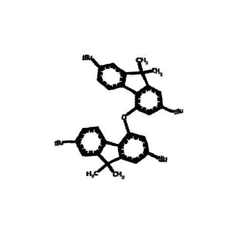 CC(C)(C)c1ccc2c(c1)C(C)(C)c1cc(C(C)(C)C)cc(Oc3cc(C(C)(C)C)cc4c3-c3ccc(C(C)(C)C)cc3C4(C)C)c1-2